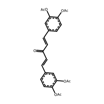 CC(=O)Oc1ccc(C=CC(=O)C=Cc2ccc(OC(C)=O)c(OC(C)=O)c2)cc1OC(C)=O